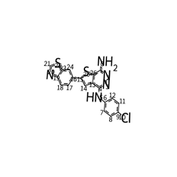 Nc1nnc(Nc2ccc(Cl)cc2)c2cc(-c3ccc4ncsc4c3)sc12